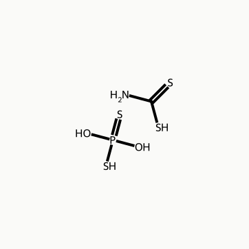 NC(=S)S.OP(O)(=S)S